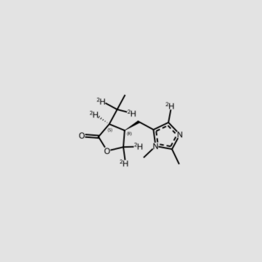 [2H]c1nc(C)n(C)c1C[C@H]1C([2H])([2H])OC(=O)[C@@]1([2H])C([2H])([2H])C